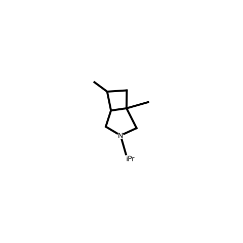 CC1CC2(C)CN(C(C)C)CC12